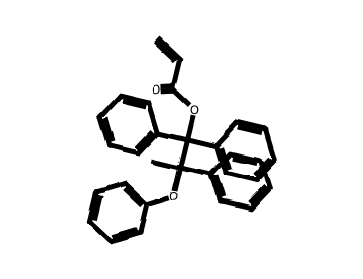 C=CC(=O)OC(c1ccccc1)(c1ccccc1)C(C)(Oc1ccccc1)c1ccccc1